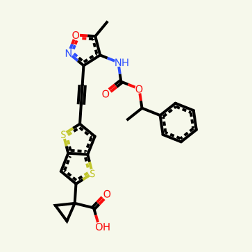 Cc1onc(C#Cc2cc3sc(C4(C(=O)O)CC4)cc3s2)c1NC(=O)OC(C)c1ccccc1